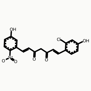 O=C(C=Cc1ccc(O)cc1Cl)CC(=O)C=Cc1cc(O)ccc1[N+](=O)[O-]